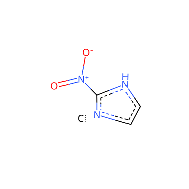 O=[N+]([O-])c1ncc[nH]1.[C]